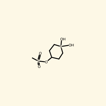 CS(=O)(=O)OC1CCS(O)(O)CC1